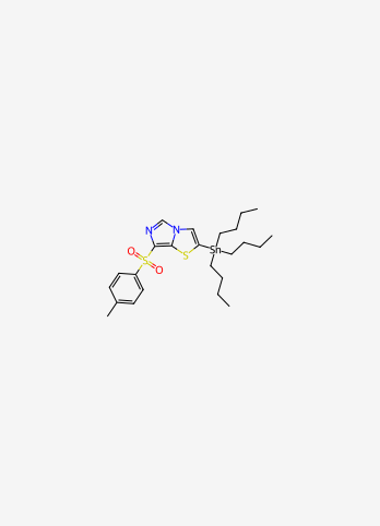 CCC[CH2][Sn]([CH2]CCC)([CH2]CCC)[c]1cn2cnc(S(=O)(=O)c3ccc(C)cc3)c2s1